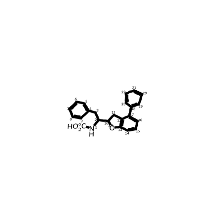 O=C(O)NC(Cc1ccccc1)C1Cc2c(cccc2-c2ccccc2)O1